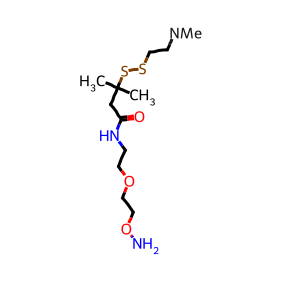 CNCCSSC(C)(C)CC(=O)NCCOCCON